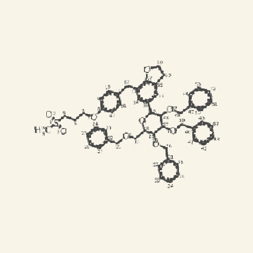 CS(=O)(=O)CCCOc1ccc(Cc2cc(C3OC(COCc4ccccc4)C(OCc4ccccc4)C(OCc4ccccc4)C3OCc3ccccc3)cc3c2OCC3)cc1